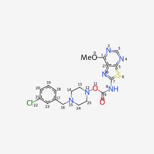 COc1ncnc2sc(NC(=O)ON3CCN(Cc4cccc(Cl)c4)CC3)nc12